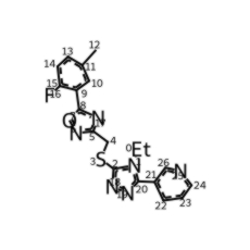 CCn1c(SCc2noc(-c3cc(C)ccc3F)n2)nnc1-c1cccnc1